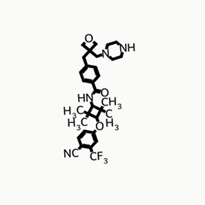 CC1(C)C(NC(=O)c2ccc(CC3(CN4CCNCC4)COC3)cc2)C(C)(C)C1Oc1ccc(C#N)c(C(F)(F)F)c1